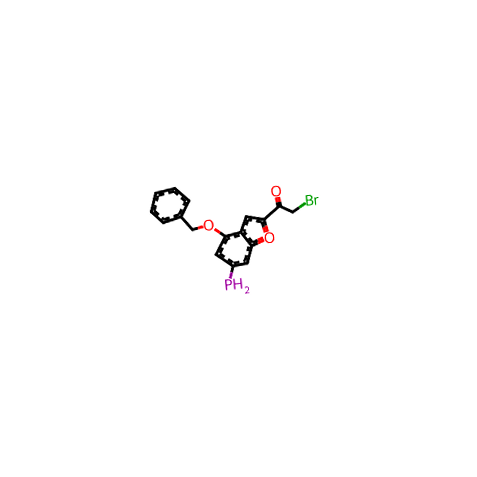 O=C(CBr)c1cc2c(OCc3ccccc3)cc(P)cc2o1